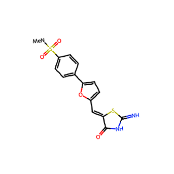 CNS(=O)(=O)c1ccc(-c2ccc(/C=C3\SC(=N)NC3=O)o2)cc1